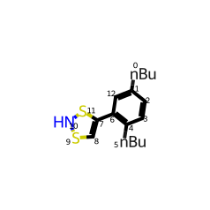 CCCCc1ccc(CCCC)c(C2=CSNS2)c1